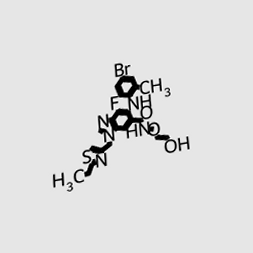 CCc1nc(Cn2cnc3c(F)c(Nc4ccc(Br)cc4C)c(C(=O)NOCCO)cc32)cs1